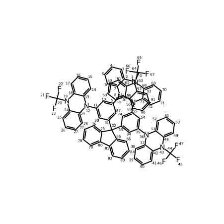 CN1c2ccccc2N(c2cc(N3c4ccccc4N(C(F)(F)F)c4ccccc43)cc(C3(c4cc(N5c6ccccc6N(C(F)(F)F)c6ccccc65)cc(N5c6ccccc6N(C(F)(F)F)c6ccccc65)c4)c4ccccc4-c4ccccc43)c2)c2ccccc21